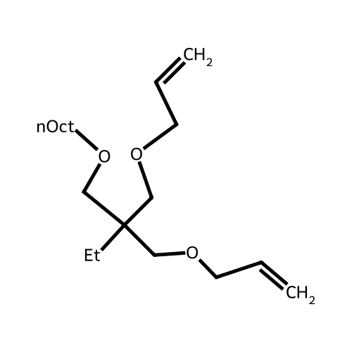 C=CCOCC(CC)(COCC=C)COCCCCCCCC